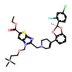 CCOC(=O)c1cc2c(nc(CN3CC=C(c4cccc5c4O[C@@](C)(c4ccc(Cl)cc4F)O5)CC3)n2COCC[Si](C)(C)C)s1